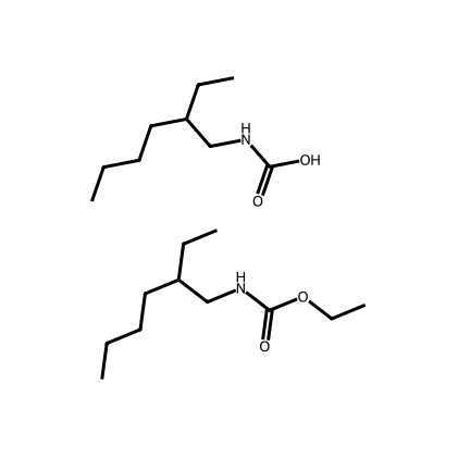 CCCCC(CC)CNC(=O)O.CCCCC(CC)CNC(=O)OCC